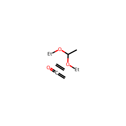 C=C.C=C=O.CCOC(C)OCC